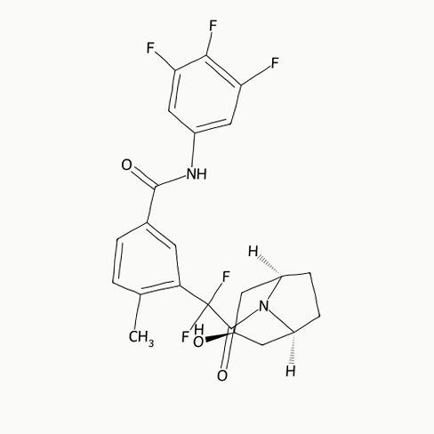 Cc1ccc(C(=O)Nc2cc(F)c(F)c(F)c2)cc1C(F)(F)C(=O)N1[C@@H]2CC[C@H]1C[C@@H](O)C2